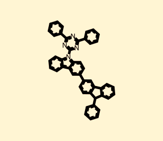 c1ccc(-c2nc(-c3ccccc3)nc(-n3c4ccccc4c4cc(-c5ccc6c(c5)-c5ccccc5C6c5ccccc5)ccc43)n2)cc1